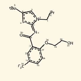 CC(C)Cn1cc(C(C)(C)C)s/c1=N\C(=O)c1cc(C(F)(F)F)ccc1OCCO